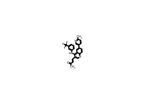 CC(=O)/C=C/c1cnc2ccc(-c3ccc(C)nc3)cc2c1Nc1cccc(C(F)(F)F)c1